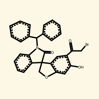 O=C(CBr)c1cc2c(cc1O)OCC21C(=O)N(C(c2ccccc2)c2ccccc2)c2ccccc21